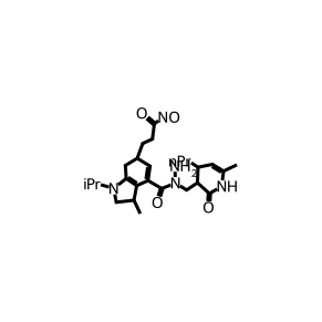 CCCC1C=C(C)NC(=O)C1CN(N)C(=O)C1=CC(CCC(=O)N=O)CC2=C1C(C)CN2C(C)C